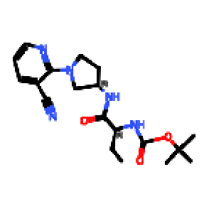 CC[C@H](NC(=O)OC(C)(C)C)C(=O)N[C@H]1CCN(c2ncccc2C#N)C1